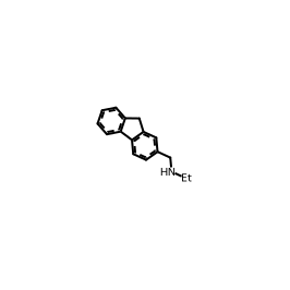 CCNCc1ccc2c(c1)Cc1ccccc1-2